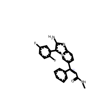 CNC(=O)/C=C(\c1ccccc1)c1ccc2nc(N)c(-c3cc(F)ccc3F)n2c1